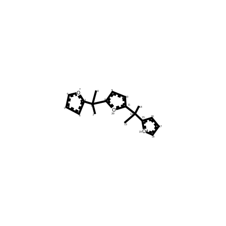 CC(C)(c1ccco1)c1ccc(C(C)(C)c2ccco2)o1